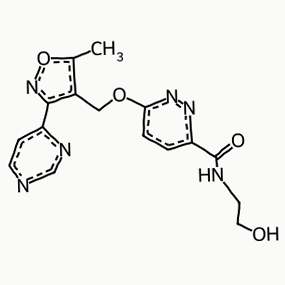 Cc1onc(-c2ccncn2)c1COc1ccc(C(=O)NCCO)nn1